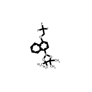 CC1(C)OB(c2ccc(OCC(F)(F)F)c3ccccc23)OC1(C)C